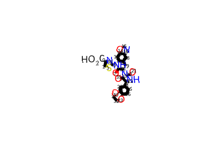 O=C(O)c1csc(NC(=O)[C@H](Cc2ccc3ocnc3c2)N2C(=O)NC(c3ccc4c(c3)OCCO4)C2=O)n1